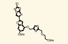 CCc1nn2cc(-c3cc4c(OCc5csc(COCCOC)n5)cc(OC)cc4o3)nc2s1